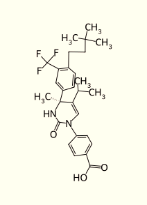 CC(C)C1=CN(c2ccc(C(=O)O)cc2)C(=O)N[C@@]1(C)c1ccc(CCC(C)(C)C)c(C(F)(F)F)c1